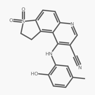 Cc1ccc(O)c(Nc2c(C#N)cnc3ccc4c(c23)CCS4(=O)=O)c1